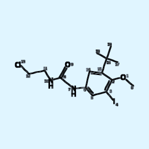 COc1c(I)cc(NC(=O)NCCCl)cc1C(C)(C)C